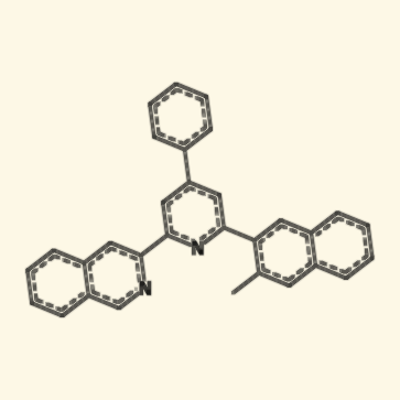 Cc1cc2ccccc2cc1-c1cc(-c2ccccc2)cc(-c2cc3ccccc3cn2)n1